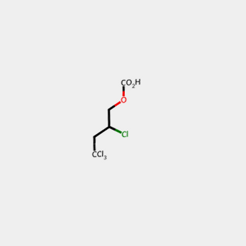 O=C(O)OCC(Cl)CC(Cl)(Cl)Cl